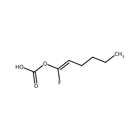 CCCCC=C(F)OC(=O)O